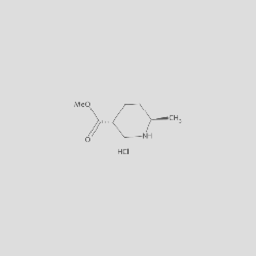 COC(=O)[C@@H]1CC[C@@H](C)NC1.Cl